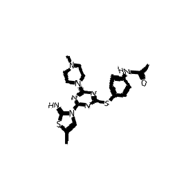 CC(=O)Nc1ccc(Sc2nc(N3CCN(C)CC3)nc(-n3cc(C)sc3=N)n2)cc1